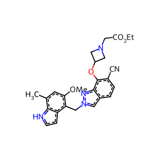 CCOC(=O)CN1CC(Oc2c(C#N)ccc3cn(Cc4c(OC)cc(C)c5[nH]ccc45)nc23)C1